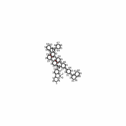 CC1(C)c2ccccc2-c2ccc(N(c3ccc(-c4ccccc4)cc3)c3cc(-c4ccc(-c5cccc6ccccc56)cc4)ccc3-c3ccc(-c4ccc5c6ccccc6n(-c6ccccc6)c5c4)cc3)cc21